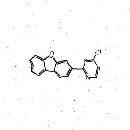 Clc1ncnc(-c2ccc3c(c2)oc2ccccc23)n1